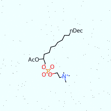 CCCCCCCCCCCCCCCCCCC(COP(=O)([O-])OCC[N+](C)(C)C)OC(C)=O